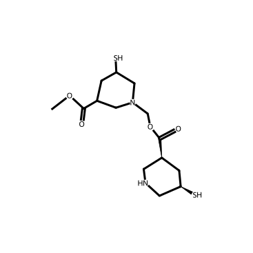 COC(=O)C1CC(S)CN(COC(=O)[C@@H]2CNC[C@H](S)C2)C1